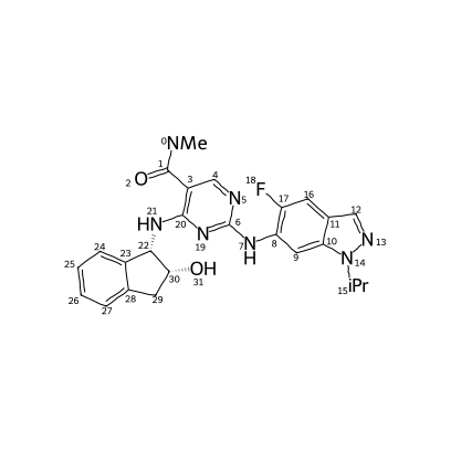 CNC(=O)c1cnc(Nc2cc3c(cnn3C(C)C)cc2F)nc1N[C@H]1c2ccccc2C[C@H]1O